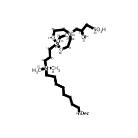 CCCCCCCCCCCCCCCCCC[N+](C)(C)CCC[Si]12OCC[N+](CC(O)CS(=O)(=O)O)(CCO1)CCO2